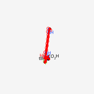 CC(C)(C)[C@H](c1nc(-c2cc(F)ccc2F)cn1Cc1ccccc1)N(CCCNC(=O)O)C(=O)C[SH](O)CCNC(=O)CCOCCOCCOCCOCCOCCOCCOCCOCCNC(=O)CCN1C(=O)C=CC1=O